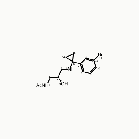 CC(=O)NC[C@H](O)CNC1(c2cccc(Br)c2)CC1